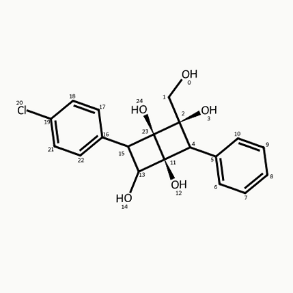 OC[C@]1(O)C(c2ccccc2)[C@]2(O)C(O)C(c3ccc(Cl)cc3)[C@@]21O